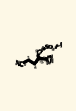 N#CCCC(C#N)OS(=O)(=O)O